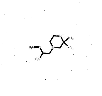 C=NC(C)CN1CCNC(C)(C)C1